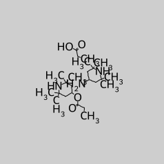 CC1(C)CC(N)CC(C)(C)N1.CCC(=O)O.CCC(=O)OC1CC(C)(C)NC(C)(C)C1